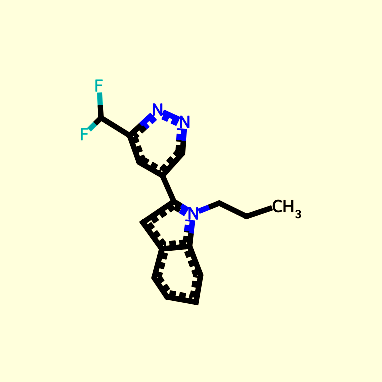 CCCn1c(-c2cnnc(C(F)F)c2)cc2ccccc21